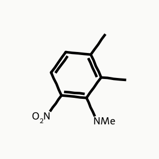 CNc1c([N+](=O)[O-])ccc(C)c1C